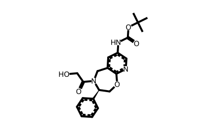 CC(C)(C)OC(=O)Nc1cnc2c(c1)CN(C(=O)CO)[C@H](c1ccccc1)CO2